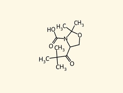 CC(C)(C)C(=O)C1COC(C)(C)N1C(=O)O